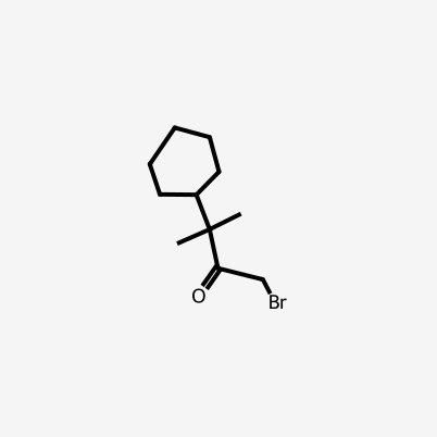 CC(C)(C(=O)CBr)C1CCCCC1